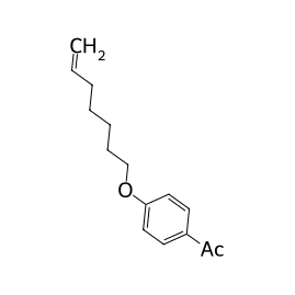 C=CCCCCCOc1ccc(C(C)=O)cc1